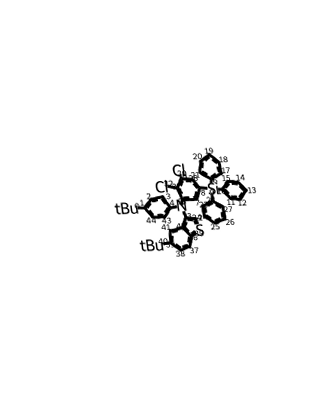 CC(C)(C)c1ccc(N(c2cc([Si](c3ccccc3)(c3ccccc3)c3ccccc3)cc(Cl)c2Cl)c2csc3ccc(C(C)(C)C)cc23)cc1